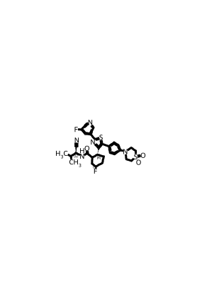 CC(C)[C@@H](C#N)NC(=O)C1C[C@@H](F)CC[C@H]1c1nc(-c2cncc(F)c2)sc1-c1ccc(N2CCS(=O)(=O)CC2)cc1